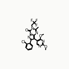 COc1ncc(-c2c(-c3ccccc3Cl)nn3c(=O)n(CC(F)(F)F)c(C)nc23)c(OC)n1